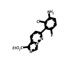 CCOC(=O)c1ncn2nc(-c3c(F)ccc(N)c3Cl)ccc12